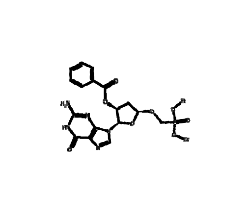 CCOP(=O)(CO[C@@H]1C[C@H](OC(=O)c2ccccc2)[C@H](n2cnc3c(=O)[nH]c(N)nc32)O1)OCC